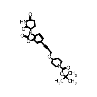 CC(C)(C)OC(=O)N1CCC(OCC#Cc2ccc3c(c2)oc(=O)n3C2CCC(=O)NC2=O)CC1